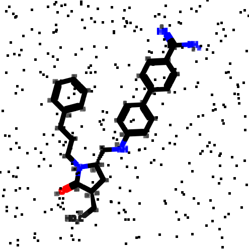 N=C(N)c1ccc(-c2ccc(NC[C@@H]3C[C@@H](CC(=O)O)C(=O)N3CCCc3ccccc3)cc2)cc1